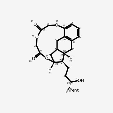 CCCCC[C@@H](O)CC[C@H]1[C@H]2CC3Cc4c(cccc4OCC(=O)OCC(=O)O2)C[C@@H]31